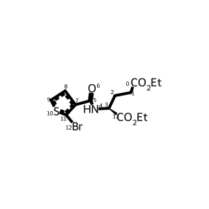 CCOC(=O)CC[C@H](NC(=O)c1ccsc1Br)C(=O)OCC